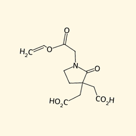 C=COC(=O)CN1CCC(CC(=O)O)(CC(=O)O)C1=O